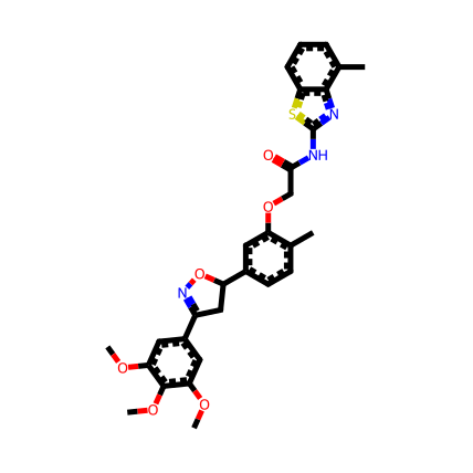 COc1cc(C2=NOC(c3ccc(C)c(OCC(=O)Nc4nc5c(C)cccc5s4)c3)C2)cc(OC)c1OC